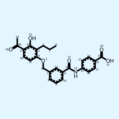 CCCc1c(OCc2cccc(C(=O)Nc3ccc(C(=O)O)cc3)c2)ccc(C(C)=O)c1O